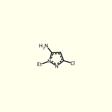 CCn1nc(Cl)cc1N